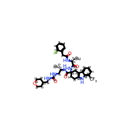 CCC(C)[C@H](NC(=O)Cc1ccccc1F)C(=O)N[C@]1(C(=O)NC(CNC(=O)NCC2CCOCC2)[C@@H](C)CC)CCc2[nH]c3c(C(F)(F)F)cccc3c2C1